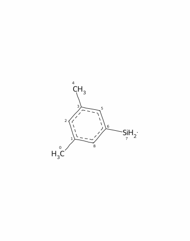 Cc1cc(C)cc([SiH2])c1